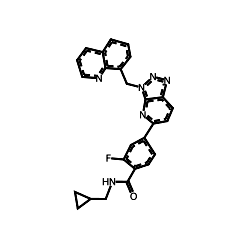 O=C(NCC1CC1)c1ccc(-c2ccc3nnn(Cc4cccc5cccnc45)c3n2)cc1F